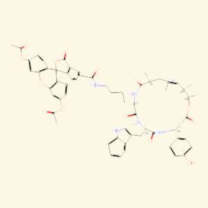 CC(=O)Oc1ccc2c(c1)Oc1cc(OC(C)=O)ccc1C21OC(=O)c2cc(C(=O)NCCCC[C@@H]3NC(=O)[C@@H](C)C/C(C)=C/[C@@H](C)[C@@H](C)OC(=O)C[C@H](c4ccc(O)cc4)NC(=O)[C@@H](Cc4c[nH]c5ccccc45)N(C)C3=O)ccc21